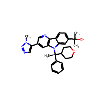 B[C@](c1ccccc1)(C1CCOCC1)n1c2cc(C(C)(C)O)ccc2c2ncc(-c3cnnn3C)cc21